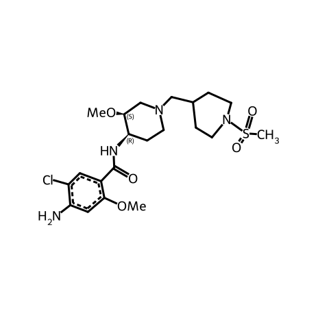 COc1cc(N)c(Cl)cc1C(=O)N[C@@H]1CCN(CC2CCN(S(C)(=O)=O)CC2)C[C@@H]1OC